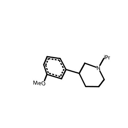 COc1cccc(C2CCCN(C(C)C)C2)c1